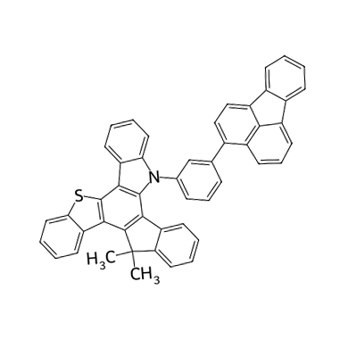 CC1(C)c2ccccc2-c2c1c1c3ccccc3sc1c1c3ccccc3n(-c3cccc(-c4ccc5c6c(cccc46)-c4ccccc4-5)c3)c21